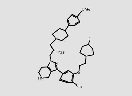 COc1ccc(C2CCN(C[C@H](O)Cn3nc(-c4ccc(C(F)(F)F)c(SCCN5CCC(F)CC5)c4)c4c3CCNC4)CC2)cc1